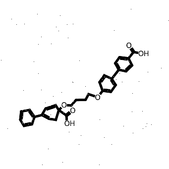 O=C(O)c1ccc(-c2ccc(OCCCCOC3(C(=O)O)C=CC(c4ccccc4)=CC3)cc2)cc1